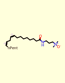 CCCCC/C=C\C/C=C\CCCCCCCC(=O)NCCC[N+](C)(C)[O-]